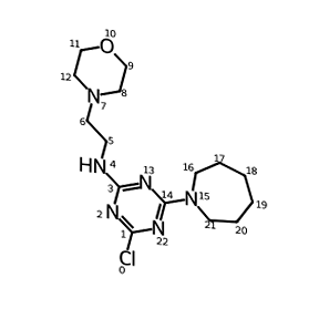 Clc1nc(NCCN2CCOCC2)nc(N2CCCCCC2)n1